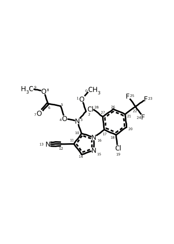 COCN(OCC(=O)OC)c1c(C#N)cnn1-c1c(Cl)cc(C(F)(F)F)cc1Cl